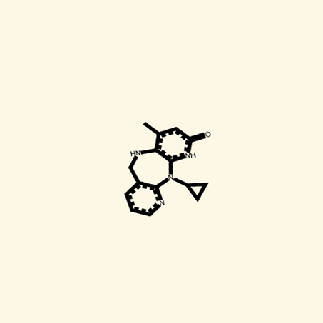 Cc1cc(=O)[nH]c2c1NCc1cccnc1N2C1CC1